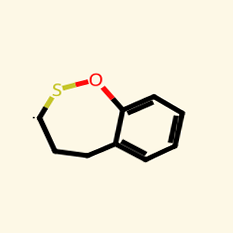 [CH]1CCc2ccccc2OS1